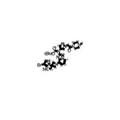 CN1CCN(C(=O)Cn2cc(N(C(=O)OC(C)(C)C)c3nc4c(N5CC(CC#N)(n6cc(Br)cn6)C5)cccn4n3)cn2)CC1